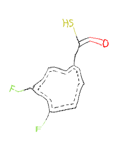 O=C(S)c1ccc(F)c(F)c1